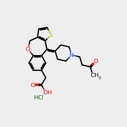 CC(=O)CCN1CCC(=C2c3cc(CC(=O)O)ccc3OCc3ccsc32)CC1.Cl